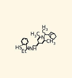 CCN(NCC=C1C=C(C)N(C(C)C2CC3CCC2C3)C(C)=C1)c1ccccc1S